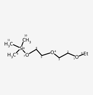 CCOCCOCCO[Si](C)(C)C